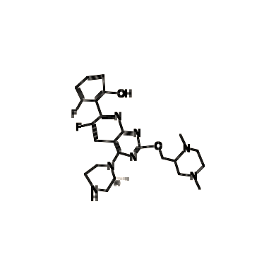 C[C@@H]1CNCCN1c1nc(OCC2CN(C)CCN2C)nc2nc(-c3c(O)cccc3F)c(F)cc12